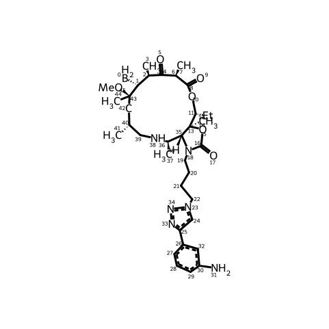 B[C@@H]1[C@@H](C)C(=O)[C@@H](C)C(=O)O[C@H](CC)[C@@]2(C)OC(=O)N(CCCCn3cc(-c4cccc(N)c4)nn3)[C@@H]2[C@@H](C)NC[C@H](C)C[C@@]1(C)OC